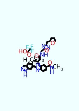 CNC(=O)c1ccc2nc(-c3ccc4cn[nH]c4c3)n(C(CC(=O)NCc3nc(CC4CCCO4)no3)C(C)(C)C)c2c1.O=C(O)C(F)(F)F